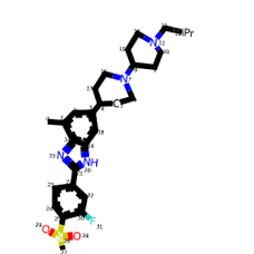 Cc1cc(C2CCN(C3CCN(CC(C)C)CC3)CC2)cc2[nH]c(-c3ccc(S(C)(=O)=O)c(F)c3)nc12